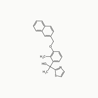 Cc1c(OCc2ccc3ccccc3c2)cccc1C(C)(O)c1nccs1